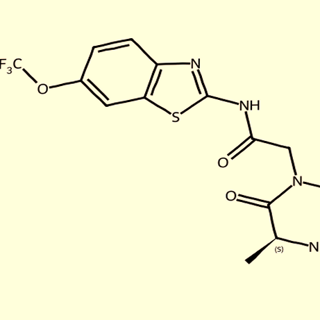 C[C@H](N)C(=O)N(C)CC(=O)Nc1nc2ccc(OC(F)(F)F)cc2s1